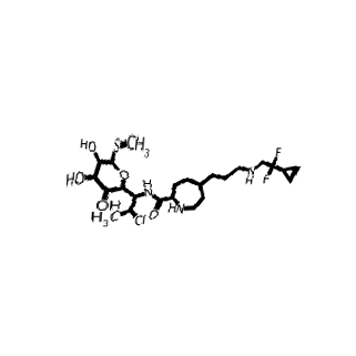 CSC1OC(C(NC(=O)C2CCC(CCCNCC(F)(F)C3CC3)CCN2)C(C)Cl)C(O)C(O)C1O